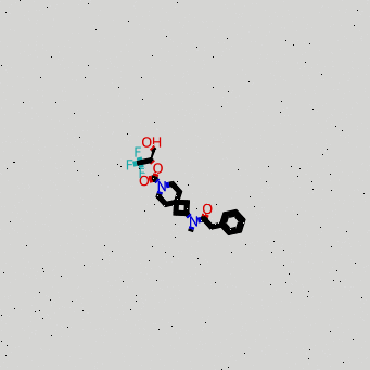 CN(C(=O)Cc1ccccc1)C1CC2(CCN(C(=O)O[C@H](CO)C(F)(F)F)CC2)C1